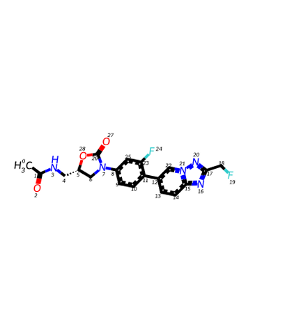 CC(=O)NC[C@H]1CN(c2ccc(-c3ccc4nc(CF)nn4c3)c(F)c2)C(=O)O1